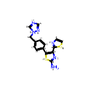 Nc1nc(-c2nccs2)c(-c2ccc(Cn3cncn3)cc2)s1